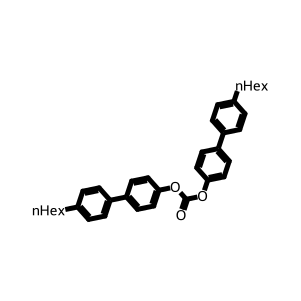 CCCCCCc1ccc(-c2ccc(OC(=O)Oc3ccc(-c4ccc(CCCCCC)cc4)cc3)cc2)cc1